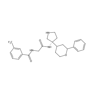 O=C(CNC(=O)c1cccc(C(F)(F)F)c1)N[C@@]1(C2CCOC(c3ccccc3)C2)CCNC1